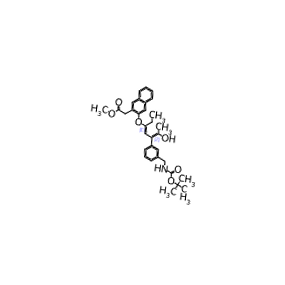 CC/C(=C\C(=C(/C)O)c1cccc(CNC(=O)OC(C)(C)C)c1)Oc1cc2ccccc2cc1CC(=O)OC